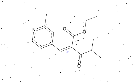 CCOC(=O)/C(=C\c1ccnc(C)c1)C(=O)C(C)C